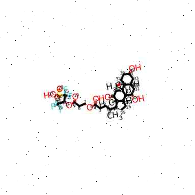 C[C@H](CCC(=O)OCCC(=O)OC(C(F)(F)F)C(F)(F)S(=O)(=O)O)[C@H]1CC[C@H]2[C@@H]3C(O)C[C@@H]4CC(O)CC[C@]4(C)[C@H]3CC(O)[C@]12C